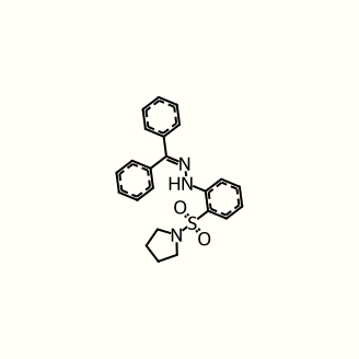 O=S(=O)(c1ccccc1NN=C(c1ccccc1)c1ccccc1)N1CCCC1